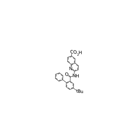 CC(C)(C)c1ccc(-c2ccccc2)c(C(=O)Nc2ccc3cc(C(=O)O)ccc3n2)c1